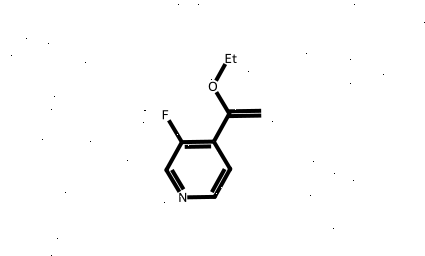 C=C(OCC)c1ccncc1F